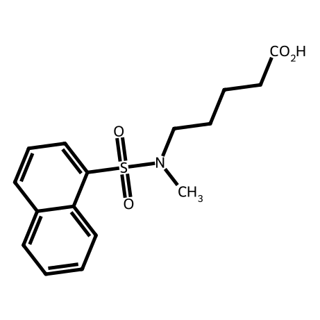 CN(CCCCC(=O)O)S(=O)(=O)c1cccc2ccccc12